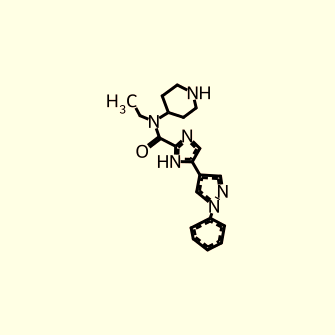 CCN(C(=O)c1ncc(-c2cnn(-c3ccccc3)c2)[nH]1)C1CCNCC1